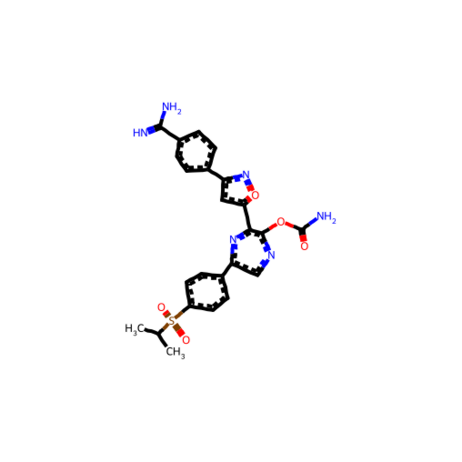 CC(C)S(=O)(=O)c1ccc(-c2cnc(OC(N)=O)c(-c3cc(-c4ccc(C(=N)N)cc4)no3)n2)cc1